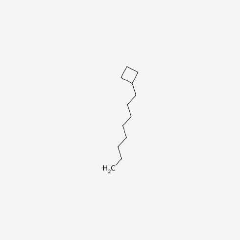 [CH2]CCCCCCCC1CCC1